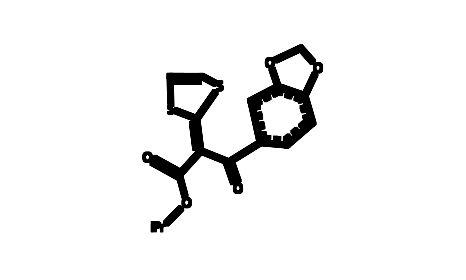 CC(C)OC(=O)C(C(=O)c1ccc2c(c1)OCO2)=C1SC=CS1